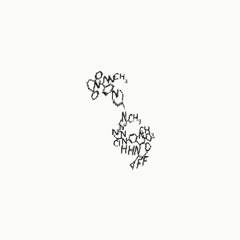 CC1CN(c2ncc(Cl)c(Nc3ccc4c(c3)c3c(c(=O)n4C)OCC(F)(F)C(C4CC4)N3)n2)CCN1CC1CCN(c2ccc3c(N4C(=O)CCCC4=O)nn(C)c3c2)CC1